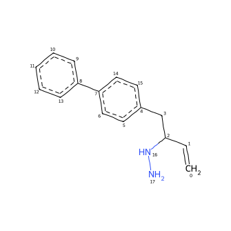 C=CC(Cc1ccc(-c2ccccc2)cc1)NN